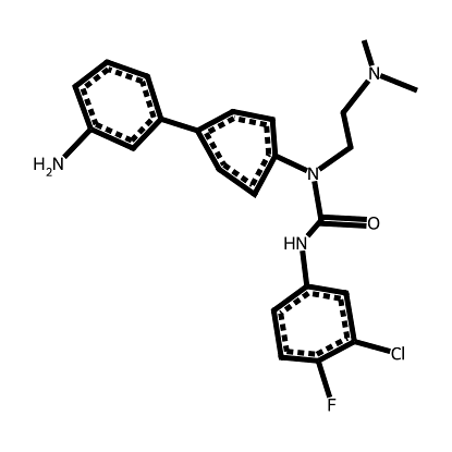 CN(C)CCN(C(=O)Nc1ccc(F)c(Cl)c1)c1ccc(-c2cccc(N)c2)cc1